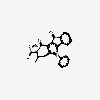 COC(=O)C1C(=O)c2c3c(n(-c4ccccc4)c2CC1C)-c1ccccc1C3=O